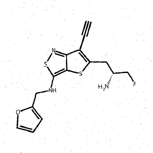 C#Cc1c(C[C@@H](N)CF)sc2c(NCc3ccco3)snc12